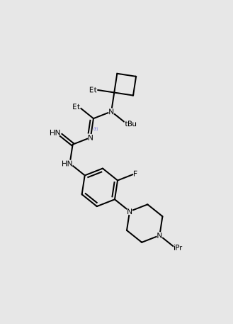 CC/C(=N\C(=N)Nc1ccc(N2CCN(C(C)C)CC2)c(F)c1)N(C(C)(C)C)C1(CC)CCC1